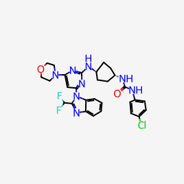 O=C(Nc1ccc(Cl)cc1)N[C@H]1CC[C@H](Nc2nc(N3CCOCC3)cc(-n3c(C(F)F)nc4ccccc43)n2)CC1